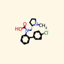 CN1CCC[C@H]1CN(C(=O)O)c1ccccc1-c1ccc(Cl)cc1